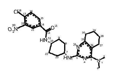 CN(C)c1nc(N[C@H]2CC[C@@H](NC(=O)c3ccc(Cl)c([N+](=O)[O-])c3)CC2)nc2c1CCCC2